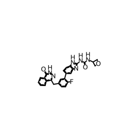 O=C(Nc1nc2cc(-c3cc(Cc4n[nH]c(=O)c5ccccc45)ccc3F)ccc2[nH]1)NC1COC1